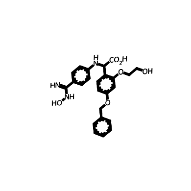 N=C(NO)c1ccc(NC(C(=O)O)c2ccc(OCc3ccccc3)cc2OCCO)cc1